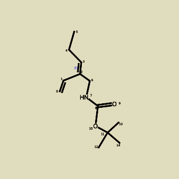 C=C/C(=C\CC)CNC(=O)OC(C)(C)C